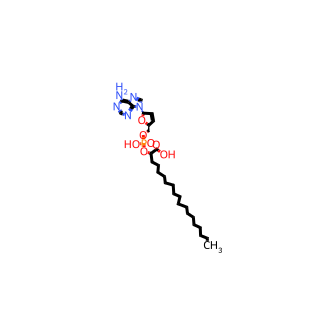 CCCCCCCCCCCCCCCCCC(OP(=O)(O)OC[C@@H]1C=C[C@H](n2cnc3c(N)ncnc32)O1)C(=O)O